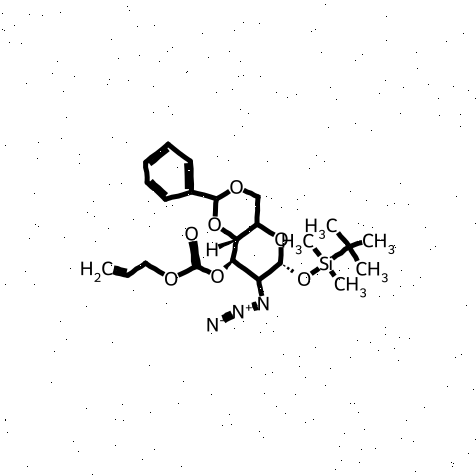 C=CCOC(=O)O[C@@H]1C(N=[N+]=[N-])[C@@H](O[Si](C)(C)C(C)(C)C)OC2COC(c3ccccc3)O[C@H]21